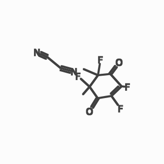 CC1(F)C(=O)C(F)=C(F)C(=O)C1(C)F.N#CC#N